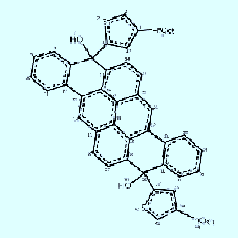 CCCCCCCCc1csc(C2(O)c3ccccc3-c3cc4ccc5c6c(cc7ccc2c3c7c46)-c2ccccc2C5(O)c2cc(CCCCCCCC)cs2)c1